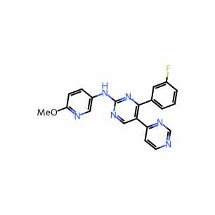 COc1ccc(Nc2ncc(-c3ccncn3)c(-c3cccc(F)c3)n2)cn1